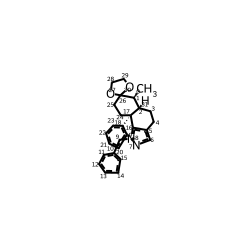 C[C@H]1[C@@H]2CCc3cnn(Cc4ccccc4)c3[C@@]2(c2ccccc2)CCC12OCCO2